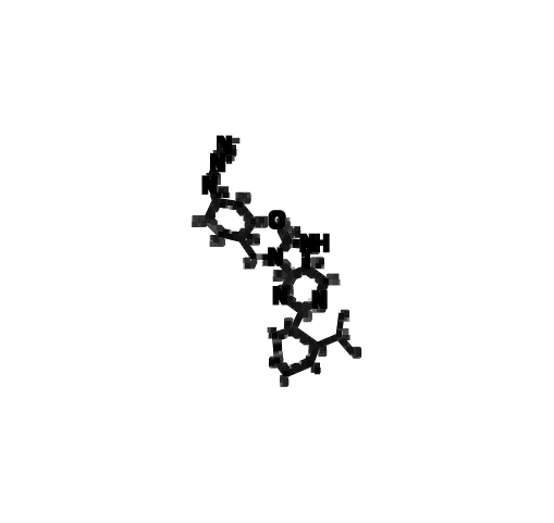 CC(C)c1ccccc1-c1ncc2[nH]c(=O)n(Cc3ccc(N=[N+]=[N-])cc3)c2n1